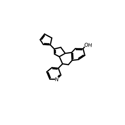 Oc1ccc2c(c1)C1CC(C3=CC=CC3)=CC1C(c1cccnc1)C2